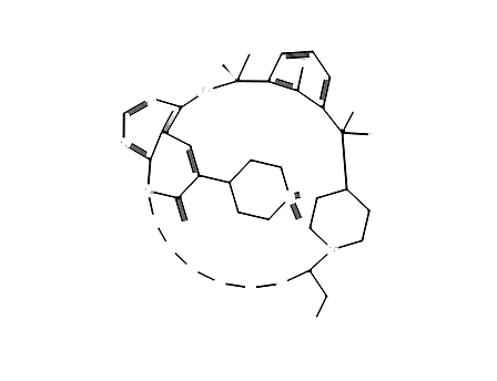 C[C@H]1Nc2ncnc3c2cc(C2CCS(=O)(=O)CC2)c(=O)n3CCCCCCC(CO)N2CCC(CC2)C(F)(F)c2cccc1c2F